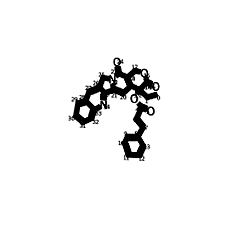 CCC1(OC(=O)/C=C/c2ccccc2)C(=O)OCc2c1cc1n(c2=O)Cc2cc3ccccc3nc2-1